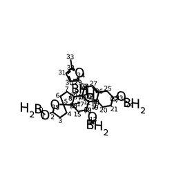 BOC1CCC2(CC[C@@]3(B)[C@H]4C([C@H](OB)C[C@]23C)[C@@]2(C)CC[C@H](OB)CC2=C[C@H]4c2ccc(C)o2)O1